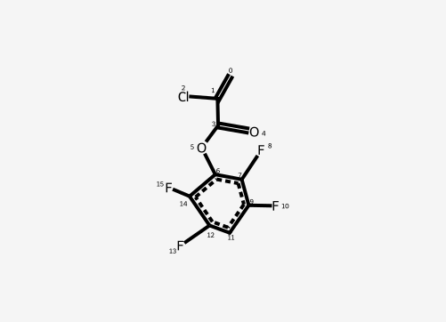 C=C(Cl)C(=O)Oc1c(F)c(F)cc(F)c1F